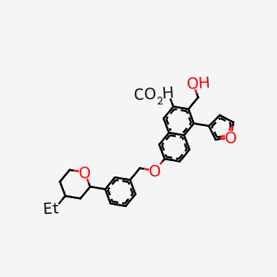 CCC1CCOC(c2cccc(COc3ccc4c(-c5ccoc5)c(CO)c(C(=O)O)cc4c3)c2)C1